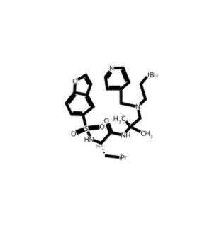 CC(C)C[C@H](NS(=O)(=O)c1ccc2occc2c1)C(=O)NC(C)(C)CN(CCC(C)(C)C)Cc1ccncc1